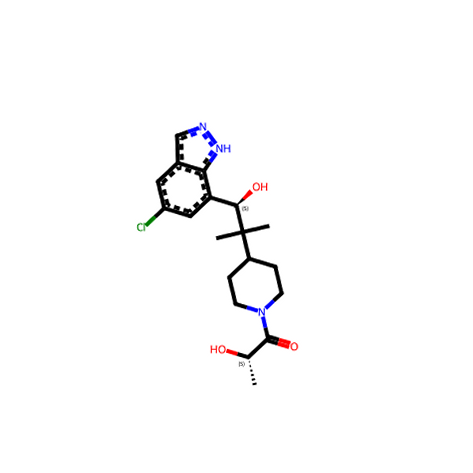 C[C@H](O)C(=O)N1CCC(C(C)(C)[C@H](O)c2cc(Cl)cc3cn[nH]c23)CC1